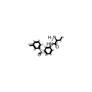 CCC(N)C(=O)Nc1cccc([S+]([O-])c2cccc(C)c2)c1